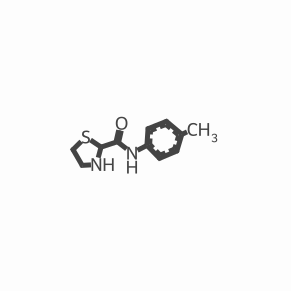 Cc1ccc(NC(=O)C2NCCS2)cc1